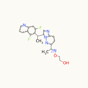 C/C(=N\OCCO)c1ccc2ncc(C(C)c3c(F)cc4ncccc4c3F)n2n1